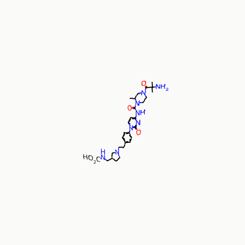 CC1CN(C(=O)C(C)(C)N)CCN1C(=O)Nc1ccn(-c2ccc(CCN3CCC(CNC(=O)O)C3)cc2)c(=O)n1